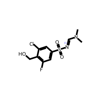 CN(C)/C=N/S(=O)(=O)c1cc(F)c(CO)c(Cl)c1